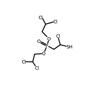 O=P(CC(S)Cl)(OCC(Cl)Cl)OCC(Cl)Cl